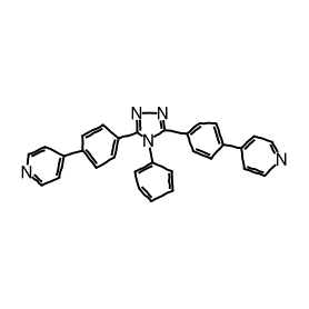 c1ccc(-n2c(-c3ccc(-c4ccncc4)cc3)nnc2-c2ccc(-c3ccncc3)cc2)cc1